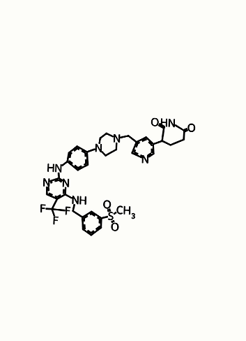 CS(=O)(=O)c1cccc(CNc2nc(Nc3ccc(N4CCN(Cc5cncc(C6CCC(=O)NC6=O)c5)CC4)cc3)ncc2C(F)(F)F)c1